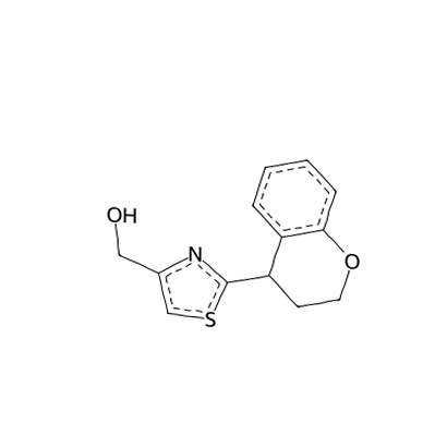 OCc1csc(C2CCOc3ccccc32)n1